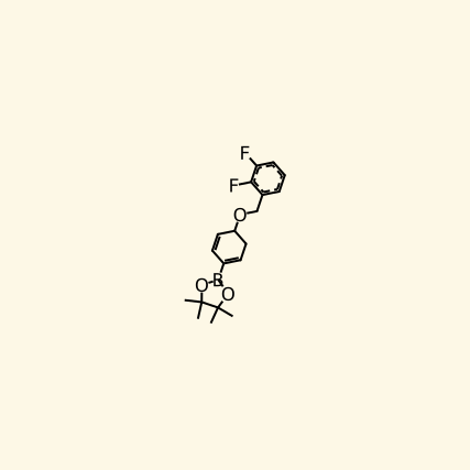 CC1(C)OB(C2=CCC(OCc3cccc(F)c3F)C=C2)OC1(C)C